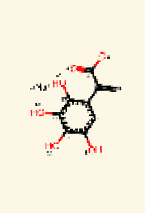 C=C(C(=O)[O-])c1cc(O)c(O)c(O)c1O.[Na+]